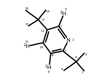 [2H]c1nc(C(C)(C)C)c([2H])c([2H])c1C(C)(C)C